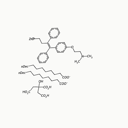 CCCCCCCCCCCCCCCCCC(=O)[O-].CCCCCCCCCCCCCCCCCC(=O)[O-].CN(C)CCOc1ccc(/C(=C(/CCCl)c2ccccc2)c2ccccc2)cc1.O=C(O)CC(O)(CC(=O)O)C(=O)O.[Zn+2]